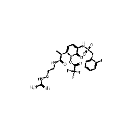 CC(C(=O)NCCONC(=N)N)c1ccc(NS(=O)(=O)Cc2ccccc2I)c(=O)n1OC(=O)C(F)(F)F